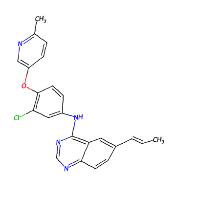 CC=Cc1ccc2ncnc(Nc3ccc(Oc4ccc(C)nc4)c(Cl)c3)c2c1